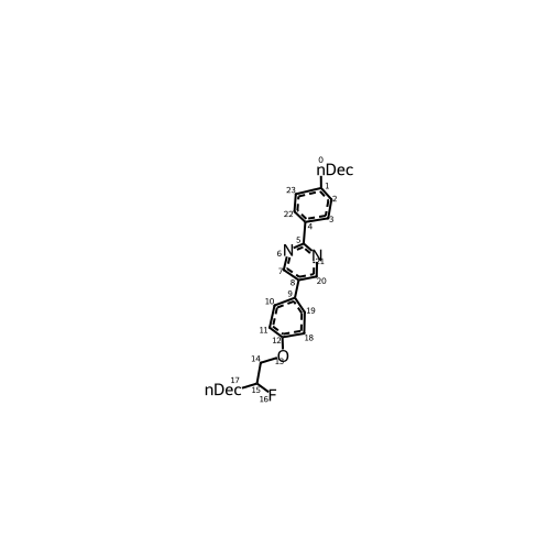 CCCCCCCCCCc1ccc(-c2ncc(-c3ccc(OCC(F)CCCCCCCCCC)cc3)cn2)cc1